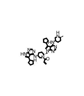 C=CC(=O)N1C[C@H](Nc2ncnc3[nH]cc(C4CCCC4)c23)CC[C@@H]1Cn1cc(C2CCCC2)c2c(N[C@@H]3CC[C@H](C)NC3)ncnc21